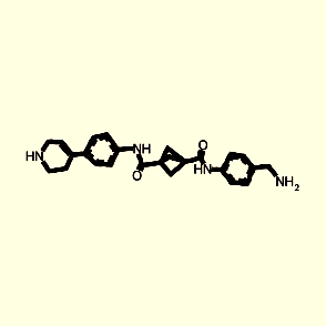 NCc1ccc(NC(=O)C23CC(C(=O)Nc4ccc(C5=CCNCC5)cc4)(C2)C3)cc1